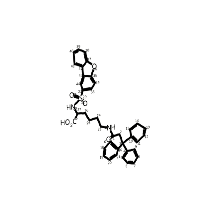 O=C(CC(c1ccccc1)(c1ccccc1)c1ccccc1)NCCCCC(NS(=O)(=O)c1ccc2oc3ccccc3c2c1)C(=O)O